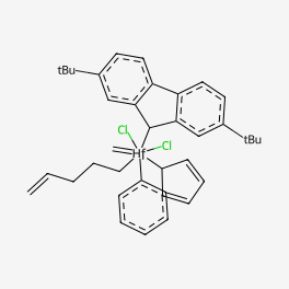 C=CCC[CH2][Hf](=[CH2])([Cl])([Cl])([c]1ccccc1)([CH]1C=CC=C1)[CH]1c2cc(C(C)(C)C)ccc2-c2ccc(C(C)(C)C)cc21